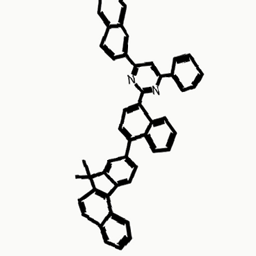 CC1(C)c2cc(-c3ccc(-c4nc(-c5ccccc5)cc(-c5ccc6ccccc6c5)n4)c4ccccc34)ccc2-c2c1ccc1ccccc21